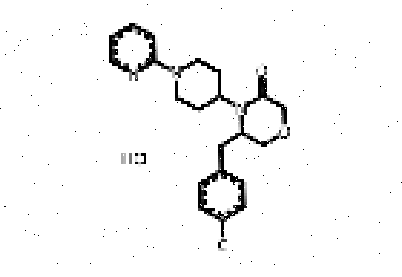 Cl.O=C1COCC(Cc2ccc(Cl)cc2)N1C1CCN(c2ccccn2)CC1